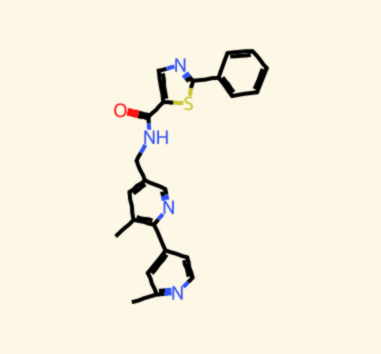 Cc1cc(-c2ncc(CNC(=O)c3cnc(-c4ccccc4)s3)cc2C)ccn1